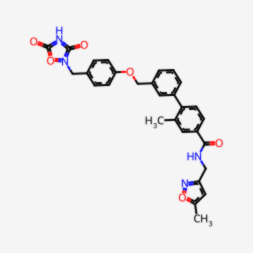 Cc1cc(CNC(=O)c2ccc(-c3cccc(COc4ccc(Cn5oc(=O)[nH]c5=O)cc4)c3)c(C)c2)no1